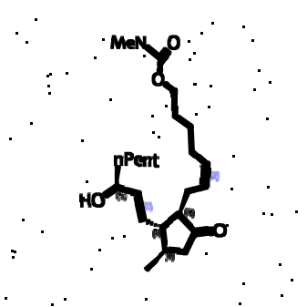 CCCCC[C@H](O)/C=C/[C@H]1[C@H](C)CC(=O)[C@@H]1C/C=C\CCCCOC(=O)NC